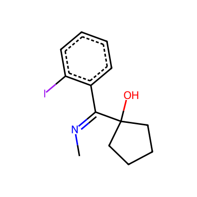 C/N=C(/c1ccccc1I)C1(O)CCCC1